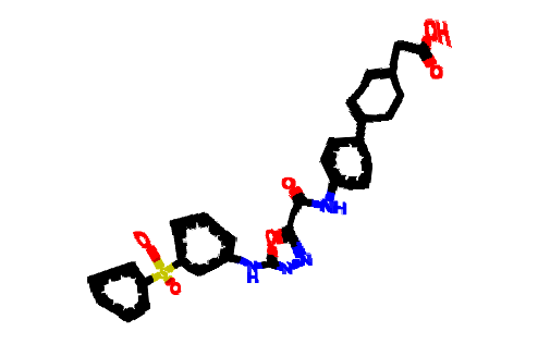 O=C(O)CC1CCC(c2ccc(NC(=O)c3nnc(Nc4cccc(S(=O)(=O)c5ccccc5)c4)o3)cc2)CC1